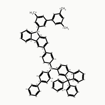 Cc1cc(C)cc(-c2cc(C)cc(-n3c4ccccc4c4cc(C5=CCC(N(c6ccc(-c7ccccc7)cc6)c6ccc7c(c6)C(c6ccccc6)(c6ccccc6)c6ccccc6-7)C=C5)ccc43)c2)c1